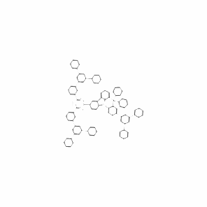 c1ccc(-c2cc(-c3ccccc3)cc(-c3cccc(-c4nc(-c5cccc(-c6cc(-c7ccccc7)cc(-c7ccccc7)c6)c5)nc(-c5ccc6c(c5)c5cccc7c5n6-c5ccc(-c6cc(-c8ccccc8)cc(-c8ccccc8)c6)cc5C7(c5ccccc5)c5ccccc5)n4)c3)c2)cc1